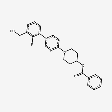 O=C(OC1CCN(c2ncc(-c3cccc(CO)c3F)cn2)CC1)c1ccccc1